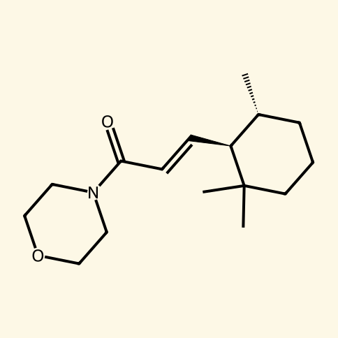 C[C@@H]1CCCC(C)(C)[C@H]1C=CC(=O)N1CCOCC1